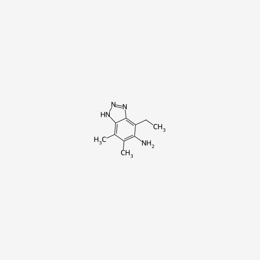 CCc1c(N)c(C)c(C)c2[nH]nnc12